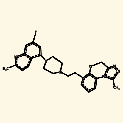 Cc1ccc2c(N3CCN(CCc4cccc5c4OCc4nnc(C)n4-5)CC3)cc(F)cc2n1